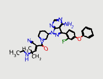 CCNC(C)(C)C=C(C#N)C(=O)N1CCCC(n2nc(-c3ccc(Oc4ccccc4)cc3F)c3c(N)ncnc32)C1